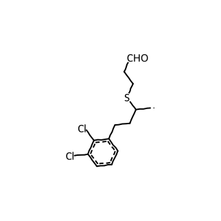 [CH2]C(CCc1cccc(Cl)c1Cl)SCCC=O